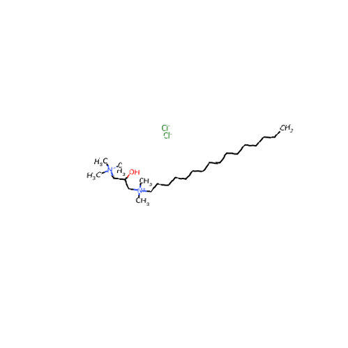 CCCCCCCCCCCCCCCC[N+](C)(C)CC(O)C[N+](C)(C)C.[Cl-].[Cl-]